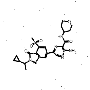 CC(C1CC1)N1Cc2cc(-c3cnc(N)c(C(=O)NC4CCOCC4)n3)cc(S(C)(=O)=O)c2C1=O